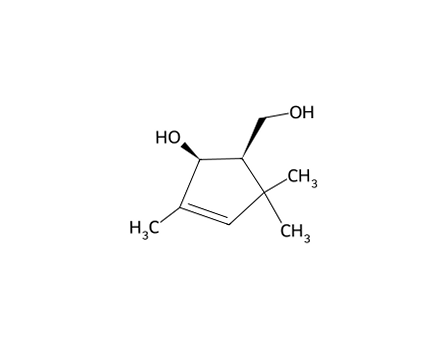 CC1=CC(C)(C)[C@H](CO)[C@@H]1O